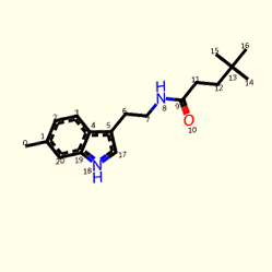 Cc1ccc2c(CCNC(=O)CCC(C)(C)C)c[nH]c2c1